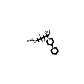 OSOC(F)(F)C(F)(F)C(F)(F)C1(N2CCC(N3CCCCC3)CC2)OOO1